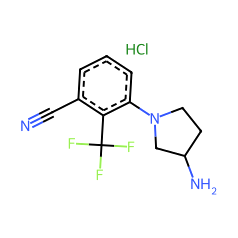 Cl.N#Cc1cccc(N2CCC(N)C2)c1C(F)(F)F